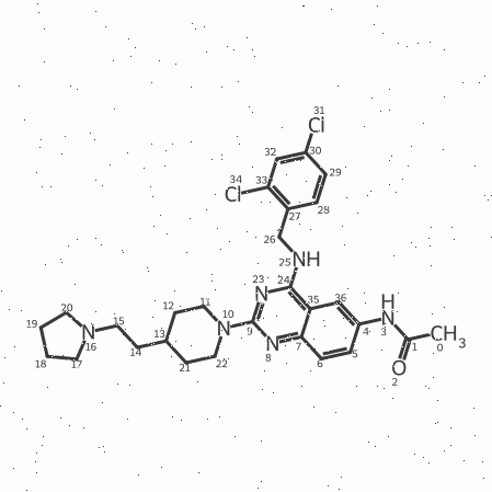 CC(=O)Nc1ccc2nc(N3CCC(CCN4CCCC4)CC3)nc(NCc3ccc(Cl)cc3Cl)c2c1